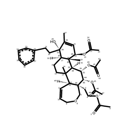 CC(=O)OCC[C@]12COCC=C[C@H]1C1(C)CC[C@@H]3[C@](C)([C@H](OC(C)=O)C=C(C)[C@]3(O)CCc3ccccc3)[C@H]1[C@H](OC(C)=O)[C@@H]2OC(C)=O